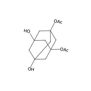 CC(=O)OC12CC3(O)CC(O)(C1)CC(OC(C)=O)(C3)C2